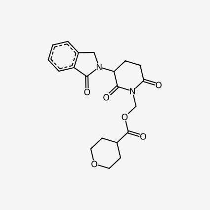 O=C(OCN1C(=O)CCC(N2Cc3ccccc3C2=O)C1=O)C1CCOCC1